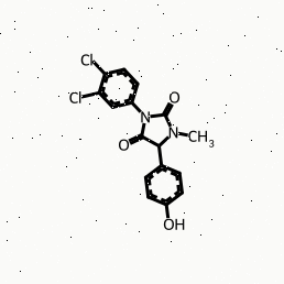 CN1C(=O)N(c2ccc(Cl)c(Cl)c2)C(=O)C1c1ccc(O)cc1